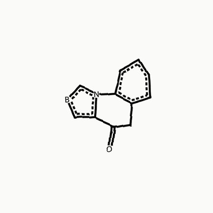 O=C1Cc2ccccc2-n2cbcc21